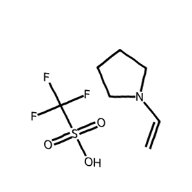 C=CN1CCCC1.O=S(=O)(O)C(F)(F)F